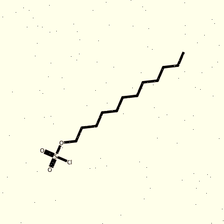 CCCCCCCCCCCCOS(=O)(=O)Cl